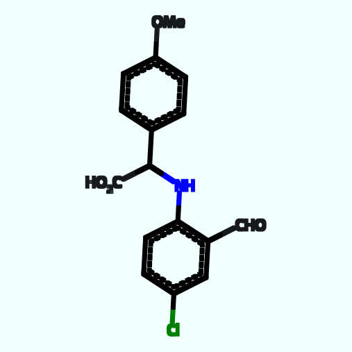 COc1ccc(C(Nc2ccc(Cl)cc2C=O)C(=O)O)cc1